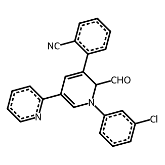 N#Cc1ccccc1C1=CC(c2ccccn2)=CN(c2cccc(Cl)c2)C1C=O